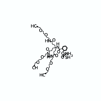 C#CCOCCOCCNC(=O)CCC(CCC(=O)NCCOCCOCC#C)(CCC(=O)NCCOCCOCC#C)NC(=O)c1ccccc1OP(N)(=O)S